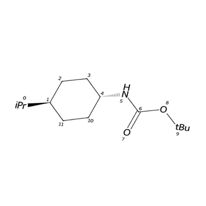 CC(C)[C@H]1CC[C@H](NC(=O)OC(C)(C)C)CC1